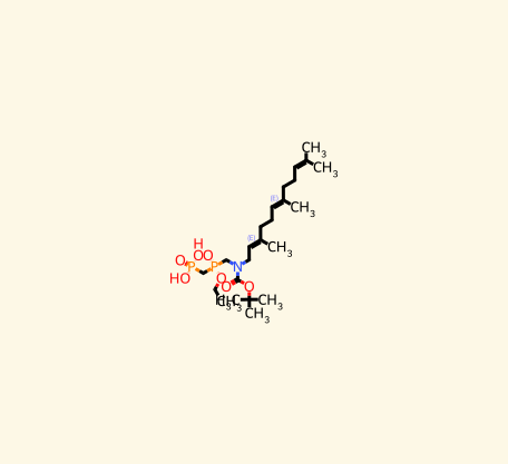 CCOP(=O)(CN(C/C=C(\C)CC/C=C(\C)CCC=C(C)C)C(=O)OC(C)(C)C)CP(=O)(O)O